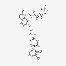 CC(C)(C)CC(C)(C)NC(=O)OCn1c(=O)ccc2ccc(OCCCCN3CCN(c4cccc(Cl)c4Cl)CC3)cc21